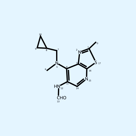 Cc1nc2c(N(C)CC3CC3)c(NC=O)cnc2s1